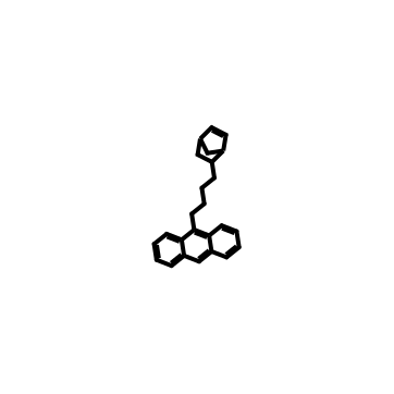 C1=CC2CC1CC2CCCCc1c2ccccc2cc2ccccc12